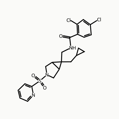 O=C(NCC1(CC2CC2)C2CN(S(=O)(=O)c3ccccn3)CC21)c1ccc(Cl)cc1Cl